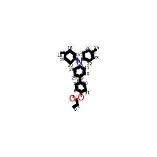 C=CC(=O)Oc1ccc(-c2ccc(N(C3=C=C=C(C)C=C3)C3=CC=C(C)CC3)cc2)cc1